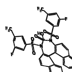 O=P1(O)N(S(=O)(=O)c2cc(F)cc(C(F)(F)F)c2)c2ccc3ccccc3c2-c2c(ccc3ccccc23)N1S(=O)(=O)c1cc(F)cc(C(F)(F)F)c1